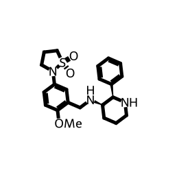 COc1ccc(N2CCCS2(=O)=O)cc1CN[C@@H]1CCCN[C@@H]1c1ccccc1